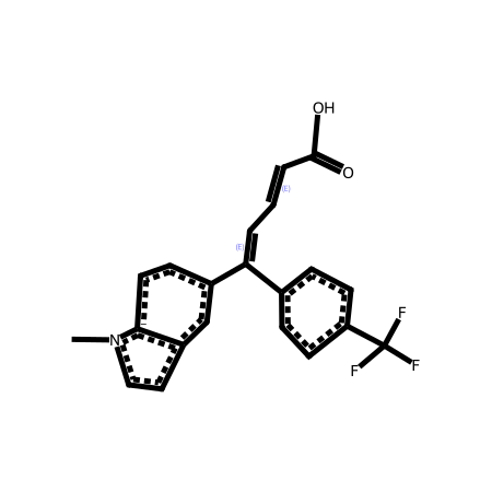 Cn1ccc2cc(/C(=C/C=C/C(=O)O)c3ccc(C(F)(F)F)cc3)ccc21